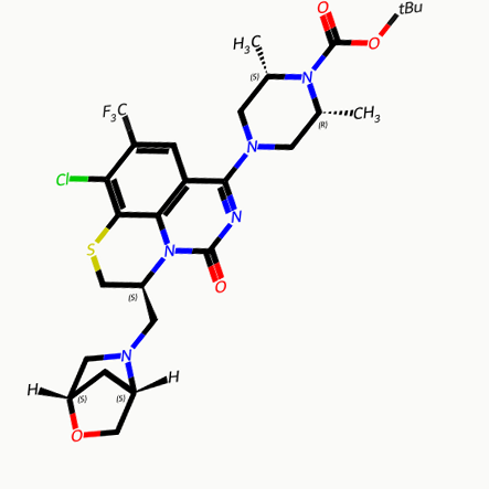 C[C@@H]1CN(c2nc(=O)n3c4c(c(Cl)c(C(F)(F)F)cc24)SC[C@@H]3CN2C[C@@H]3C[C@H]2CO3)C[C@H](C)N1C(=O)OC(C)(C)C